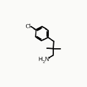 CC(C)(CN)Cc1ccc(Cl)cc1